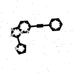 C(#Cc1ccc2nnc(-c3cccs3)n2n1)c1ccccc1